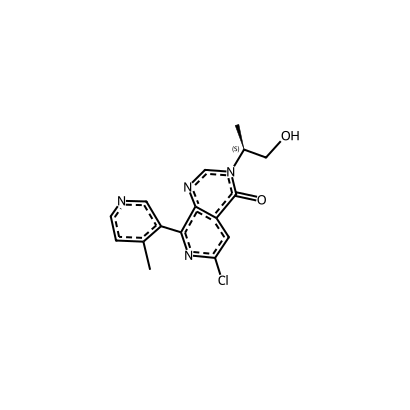 Cc1ccncc1-c1nc(Cl)cc2c(=O)n([C@@H](C)CO)cnc12